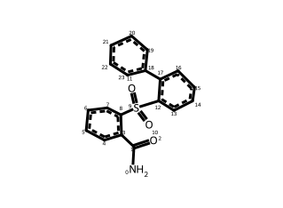 NC(=O)c1ccccc1S(=O)(=O)c1ccccc1-c1ccccc1